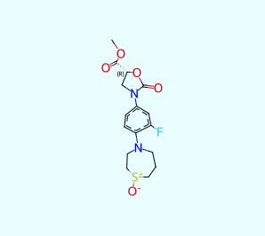 COC(=O)[C@H]1CN(c2ccc(N3CCC[S+]([O-])CC3)c(F)c2)C(=O)O1